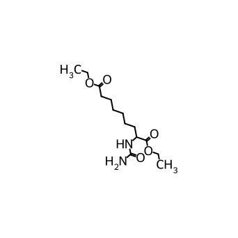 CCOC(=O)CCCCCCC(NC(N)=O)C(=O)OCC